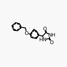 O=C1NC(=O)C(c2ccc(OCc3ccccc3)cc2)N1